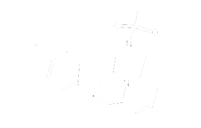 CC(C)=CC(CC(C)(C)c1ccc(F)cc1)N1CCN(S(C)(=O)=O)CC1